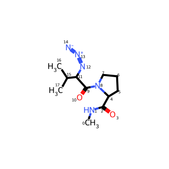 CNC(=O)C1CCCN1C(=O)C(N=[N+]=[N-])C(C)C